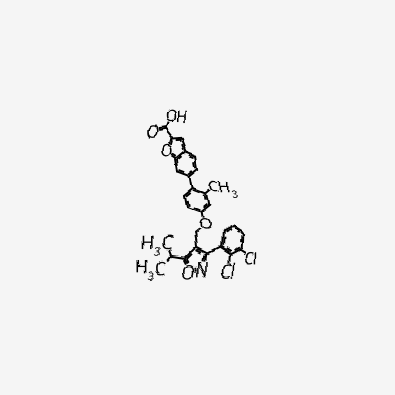 Cc1cc(OCc2c(-c3cccc(Cl)c3Cl)noc2C(C)C)ccc1-c1ccc2cc(C(=O)O)oc2c1